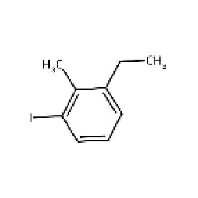 CCc1cccc(I)c1C